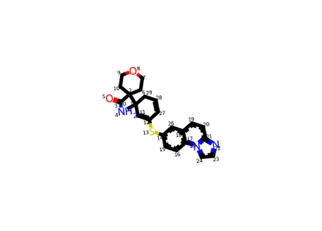 CC1(C2(C(N)=O)CCOCC2)C=C(Sc2ccc3c(ccc4nccn43)c2)C=CC1